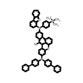 [2H]c1c2c3c(cccc3c3cc(N(c4ccc([Si](C)(C)C)cc4)c4cccc5c4oc4ccccc45)ccc13)Sc1cc(N(c3ccc(-c4ccccc4)cc3)c3ccc(-c4ccccc4)cc3)ccc1-2